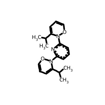 CC(C)C1=CC=CON1c1cccc(N2OC=CC=C2C(C)C)n1